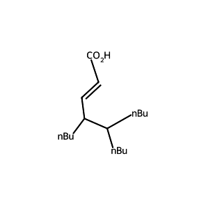 CCCCC(/C=C/C(=O)O)C(CCCC)CCCC